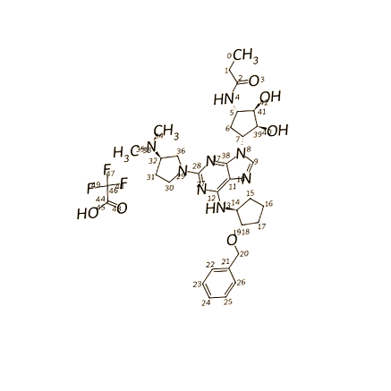 CCC(=O)N[C@H]1C[C@@H](n2cnc3c(N[C@H]4CCC[C@@H]4OCc4ccccc4)nc(N4CC[C@@H](N(C)C)C4)nc32)[C@H](O)[C@@H]1O.O=C(O)C(F)(F)F